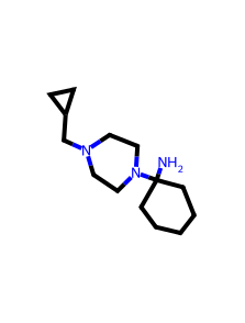 NC1(N2CCN(CC3CC3)CC2)CCCCC1